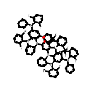 Fc1cccc(F)c1N(c1ccccc1)c1cc2c3c(c1)N(c1c(F)cccc1F)c1ccccc1B3c1cc3c(c(C(F)(F)F)c1S2)N(c1c(-c2ccccc2)cccc1C(F)(F)F)c1cc(N(c2ccccc2)c2c(F)cccc2F)cc2c1B3c1ccccc1N2c1c(F)cccc1F